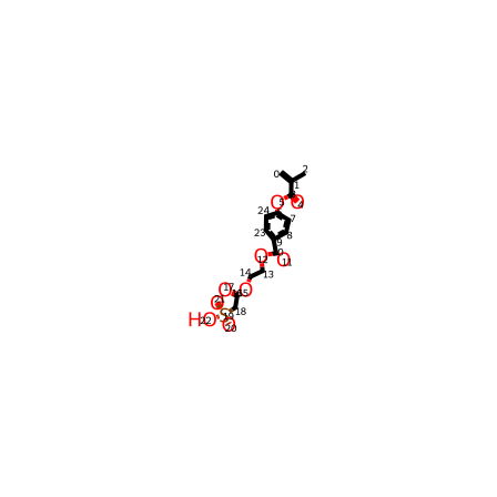 C=C(C)C(=O)Oc1ccc(C(=O)OCCOC(=O)CS(=O)(=O)O)cc1